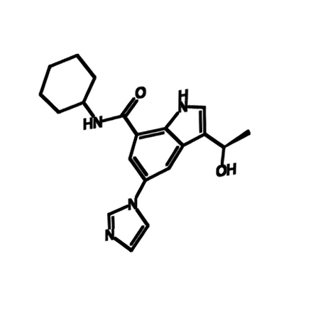 C[C@@H](O)c1c[nH]c2c(C(=O)NC3CCCCC3)cc(-n3ccnc3)cc12